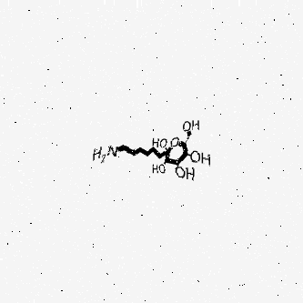 NCCCCCC[C@@]1(O)O[C@H](CO)[C@H](O)[C@H](O)[C@H]1O